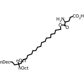 CCCCCCCCCCCCC(CCCCCCCC)(CCCCCCCC)CCCCCCCCCCCCCCCCCOC(=O)C(N)CCC(=O)O